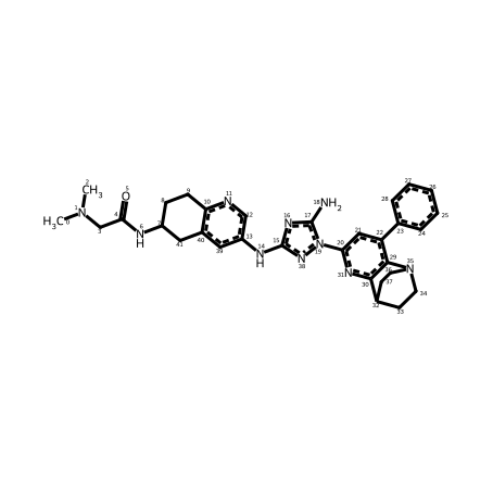 CN(C)CC(=O)NC1CCc2ncc(Nc3nc(N)n(-c4cc(-c5ccccc5)c5c(n4)C4CCN5CC4)n3)cc2C1